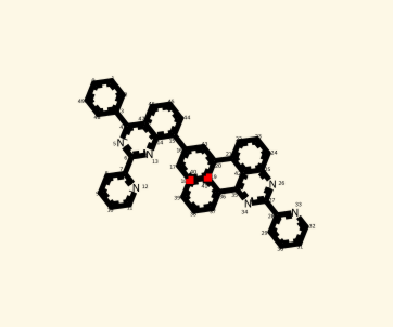 c1ccc(-c2nc(-c3ccccn3)nc3c(-c4cccc(-c5cccc6nc(-c7ccccn7)nc(-c7ccccc7)c56)c4)cccc23)cc1